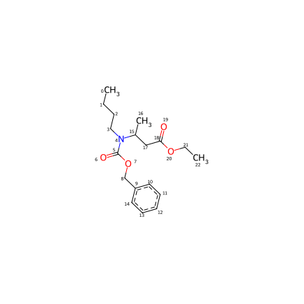 CCCCN(C(=O)OCc1ccccc1)C(C)CC(=O)OCC